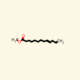 C=CCC=CCCCCCCCC(=O)OC